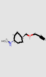 C#CCOC[C@H]1CC[C@H](NC(=O)O)CC1